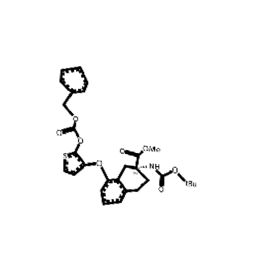 COC(=O)[C@@]1(NC(=O)OC(C)(C)C)CCc2cccc(Oc3ccsc3OC(=O)OCc3ccccc3)c2C1